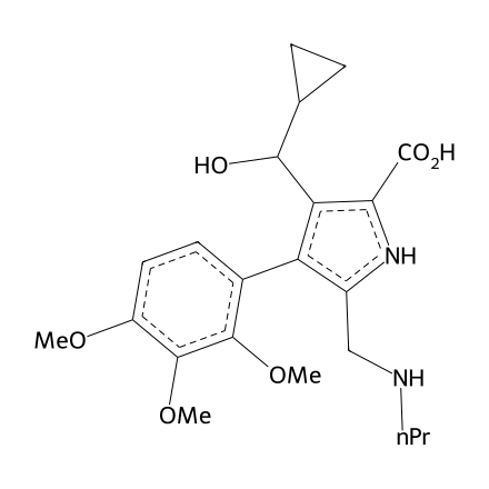 CCCNCc1[nH]c(C(=O)O)c(C(O)C2CC2)c1-c1ccc(OC)c(OC)c1OC